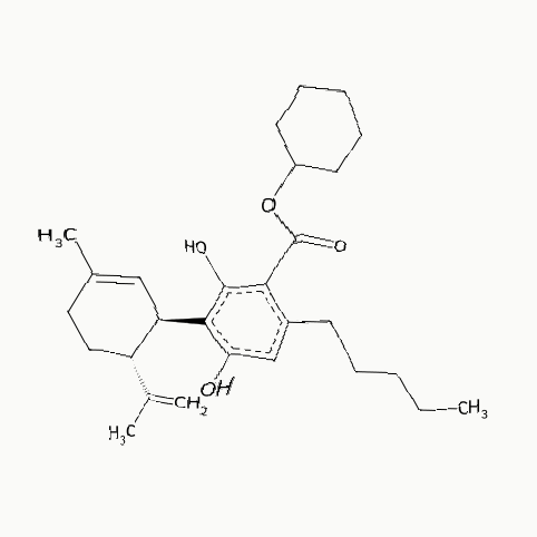 C=C(C)[C@@H]1CCC(C)=C[C@H]1c1c(O)cc(CCCCC)c(C(=O)OC2CCCCC2)c1O